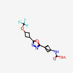 O=C(O)NC12CC(c3nnc(C4CC(OC(F)(F)F)C4)o3)(C1)C2